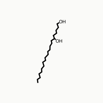 CCCCCCCCCCCCCCCCC(O)CCCCCO